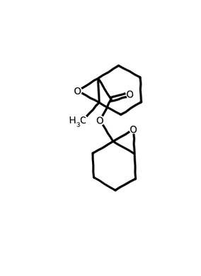 CC12CCCCC1(C(=O)OC13CCCCC1O3)O2